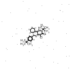 CC(C)(C)c1ccc(CSC2C(Cl)C(=O)N(C(C)(C)C)NC2C2CCCCC2)cc1